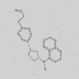 CCN(c1cccc2ccccc12)C1CCC(c2ccc(OCC(=O)O)cc2)C1